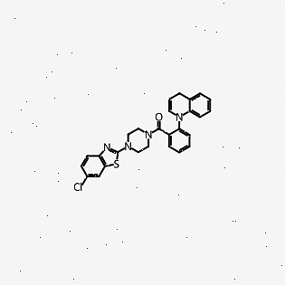 O=C(c1ccccc1N1C=CCc2ccccc21)N1CCN(c2nc3ccc(Cl)cc3s2)CC1